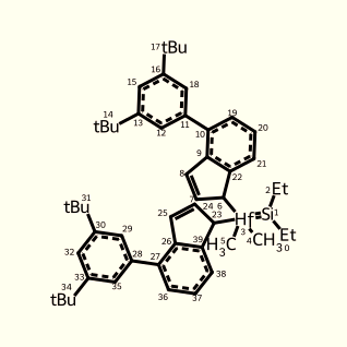 CC[Si](CC)=[Hf]([CH3])([CH3])([CH]1C=Cc2c(-c3cc(C(C)(C)C)cc(C(C)(C)C)c3)cccc21)[CH]1C=Cc2c(-c3cc(C(C)(C)C)cc(C(C)(C)C)c3)cccc21